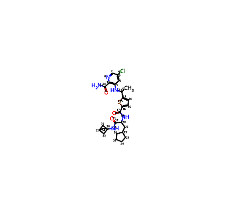 CC(Nc1cc(Cl)cnc1C(N)=O)c1ccc(C(=O)NC(CC2CCCC2)C(=O)NC23CC(C2)C3)s1